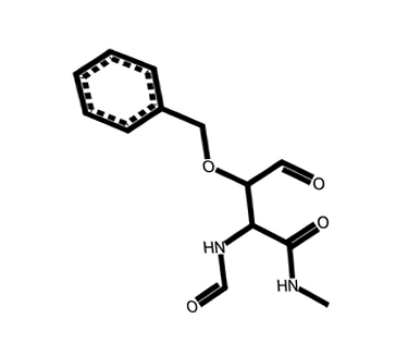 CNC(=O)C(NC=O)C(C=O)OCc1ccccc1